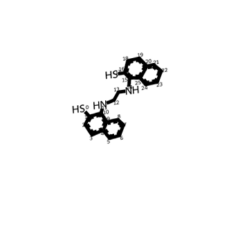 Sc1ccc2ccccc2c1NCCNc1c(S)ccc2ccccc12